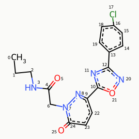 CCCNC(=O)Cn1nc(-c2nc(-c3ccc(Cl)cc3)no2)ccc1=O